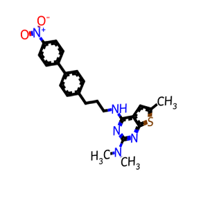 Cc1cc2c(NCCCc3ccc(-c4ccc([N+](=O)[O-])cc4)cc3)nc(N(C)C)nc2s1